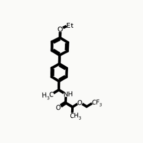 CCOc1ccc(-c2ccc(C(C)NC(=O)C(C)OCC(F)(F)F)cc2)cc1